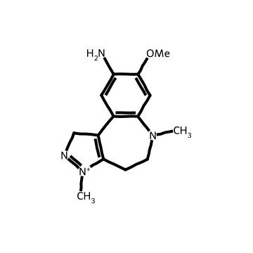 COc1cc2c(cc1N)C1=C(CCN2C)[N+](C)=NC1